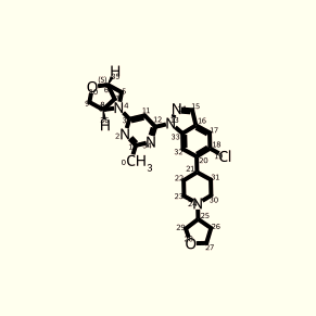 Cc1nc(N2C[C@@H]3C[C@H]2CO3)cc(-n2ncc3cc(Cl)c(C4CCN(C5CCOC5)CC4)cc32)n1